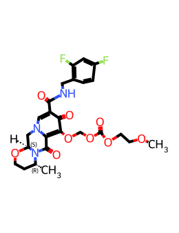 COCCOC(=O)OCOc1c2n(cc(C(=O)NCc3ccc(F)cc3F)c1=O)C[C@@H]1OCC[C@@H](C)N1C2=O